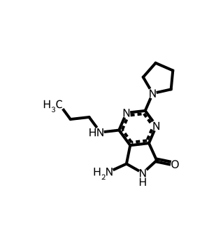 CCCNc1nc(N2CCCC2)nc2c1C(N)NC2=O